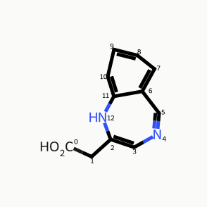 O=C(O)CC1=CN=Cc2ccccc2N1